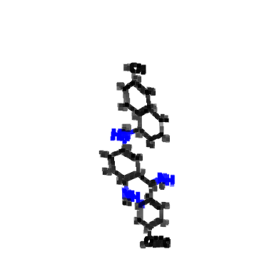 COc1ccc(C(=N)c2cc(NC3CCCc4cc(C#N)ccc43)ccc2N)cc1